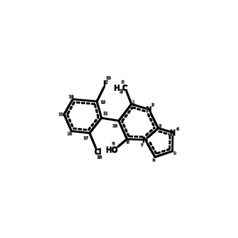 Cc1nc2nccn2c(O)c1-c1c(F)cccc1Cl